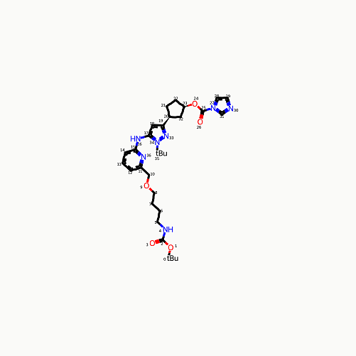 CC(C)(C)OC(=O)NCCCCOCc1cccc(Nc2cc([C@H]3CC[C@@H](OC(=O)n4ccnc4)C3)nn2C(C)(C)C)n1